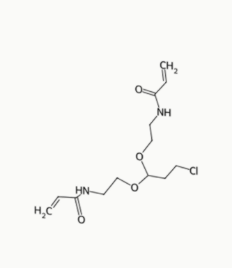 C=CC(=O)NCCOC(CCCl)OCCNC(=O)C=C